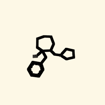 OC1(Cc2ccccc2)CCCCCC1CN1CCCC1